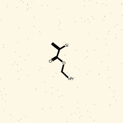 C=C([Si])C(=O)OCCCC